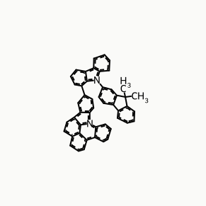 CC1(C)c2ccccc2-c2ccc(-n3c4ccccc4c4cccc(-c5ccc6c(c5)c5ccc7cccc8c9ccccc9n6c5c78)c43)cc21